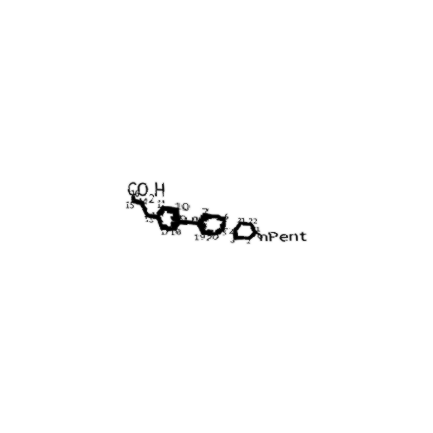 CCCCC[C@H]1CC[C@H](c2ccc(-c3ccc(CCCC(=O)O)cc3)cc2)CC1